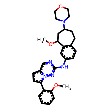 COc1ccccc1-c1ccc2cnc(Nc3ccc4c(c3)C(OC)CC(N3CCOCC3)CC4)nn12